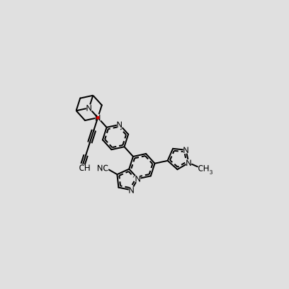 C#CC#CCN1C2CC1CN(c1ccc(-c3cc(-c4cnn(C)c4)cn4ncc(C#N)c34)cn1)C2